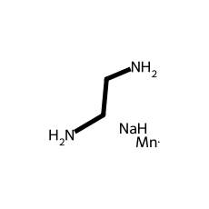 NCCN.[Mn].[NaH]